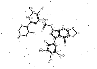 C[C@H]1CN(C)CCN1C1=CC(NC(=O)Cn2cc(-c3cc(C=O)c(O)c(O)c3F)c3c(=O)n4c(nc32)CCC4)=C(Cl)C(F)N1